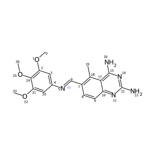 COc1cc(/N=C/c2ccc3nc(N)nc(N)c3c2C)cc(OC)c1OC